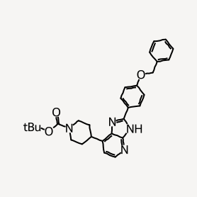 CC(C)(C)OC(=O)N1CCC(c2ccnc3[nH]c(-c4ccc(OCc5ccccc5)cc4)nc23)CC1